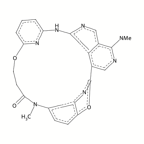 CNc1ncc2c3cc(ncc13)Nc1cccc(n1)OCCC(=O)N(C)c1ccc3oc-2nc3c1